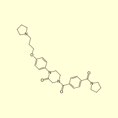 O=C(c1ccc(C(=O)N2CCN(c3ccc(OCCCN4CCCC4)cc3)C(=O)C2)cc1)N1CCCC1